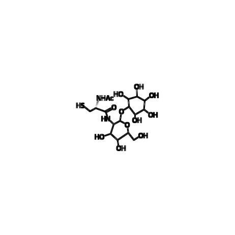 CC(=O)N[C@@H](CS)C(=O)NC1C(OC2C(O)C(O)C(O)C(O)C2O)OC(CO)C(O)C1O